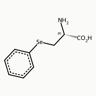 N[C@@H](C[Se]c1ccccc1)C(=O)O